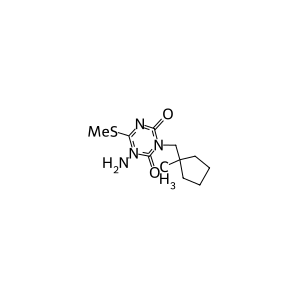 CSc1nc(=O)n(CC2(C)CCCC2)c(=O)n1N